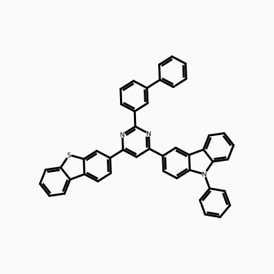 c1ccc(-c2cccc(-c3nc(-c4ccc5c(c4)sc4ccccc45)cc(-c4ccc5c(c4)c4ccccc4n5-c4ccccc4)n3)c2)cc1